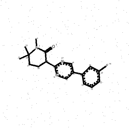 CN1C(=O)C(c2ncc(-c3cccc(F)c3)cn2)CCC1(C)C